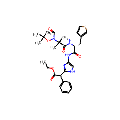 CCOC(=O)C(c1ccccc1)c1nc(NC(=O)[C@@H](Cc2ccsc2)NC(=O)C(C)(C)N(C=O)OC(C)(C)C)c[nH]1